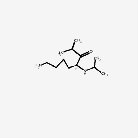 CC(C)N[C@@H](CCCCN)C(=O)C(C)C